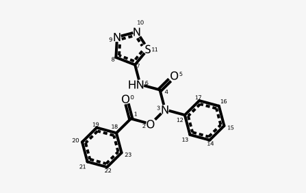 O=C(ON(C(=O)Nc1cnns1)c1ccccc1)c1ccccc1